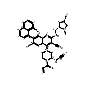 C=CC(=O)N1CCN(C2=C(C#N)C(OC[C@@H]3C[C@@H](F)CN3C)=NC3C=C(c4cccc5cccc(Cl)c45)C(F)=CC23)C[C@@H]1CC#N